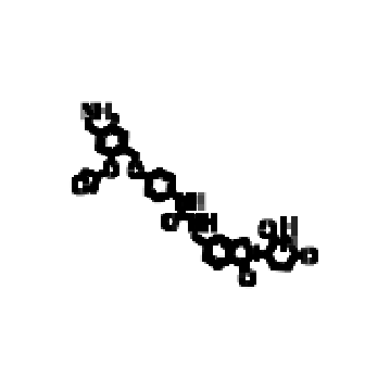 NCc1ccc(COc2ccc(NC(=O)NCc3ccc4c(c3)CN(C3CCC(=O)NC3=O)C4=O)cc2)c(OC2COC2)c1